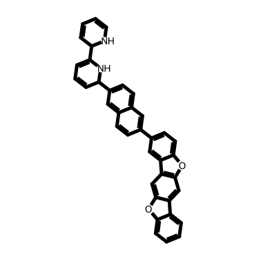 C1=CNC(C2=CC=CC(c3ccc4cc(-c5ccc6oc7cc8c(cc7c6c5)oc5ccccc58)ccc4c3)N2)C=C1